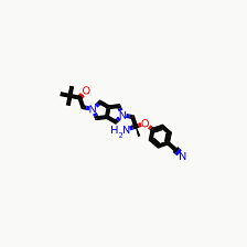 CC(C)(C)C(=O)CN1CC2CN(C[C@@](C)(N)Oc3ccc(C#N)cc3)CC2C1